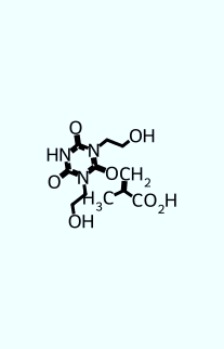 C=C(C)C(=O)O.O=c1[nH]c(=O)n(CCO)c(=O)n1CCO